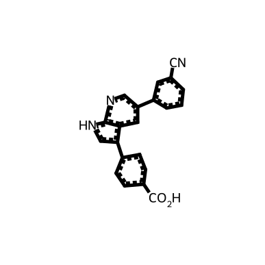 N#Cc1cccc(-c2cnc3[nH]cc(-c4ccc(C(=O)O)cc4)c3c2)c1